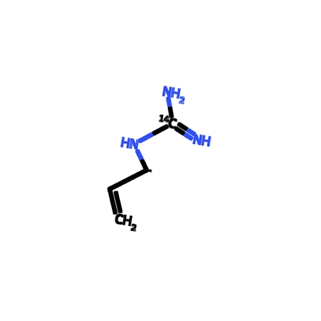 C=C[CH]N[14C](=N)N